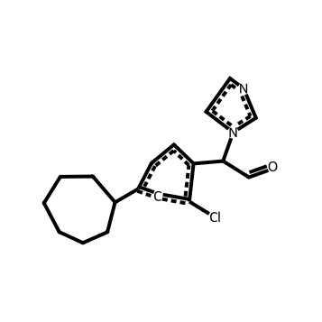 O=CC(c1ccc(C2CCCCCC2)cc1Cl)n1ccnc1